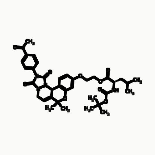 CC(=O)c1ccc(-n2c(=O)n3n(c2=O)C2C(=CC3)C(C)(C)Oc3cc(OCCOC(=O)[C@H](CC(C)C)NC(=O)OC(C)(C)C)ccc32)cc1